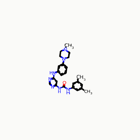 Cc1cc(C)cc(NC(=O)Nc2cc(Nc3cccc(N4CCN(C)CC4)c3)ncn2)c1